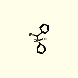 CC(C)C(c1ccccc1)P(=O)(O)c1ccccc1